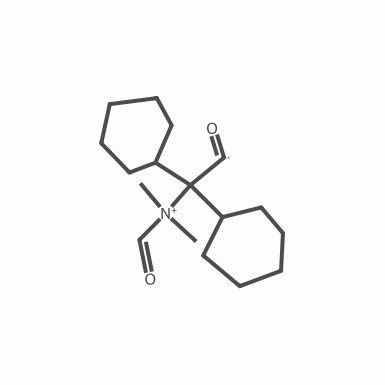 C[N+](C)(C=O)C([C]=O)(C1CCCCC1)C1CCCCC1